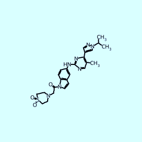 Cc1cnc(Nc2ccc3c(ccn3C(=O)CN3CCS(=O)(=O)CC3)c2)nc1-c1cnn(C(C)C)c1